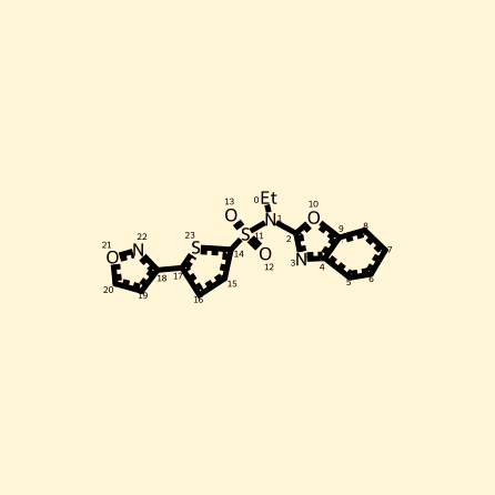 CCN(c1nc2ccccc2o1)S(=O)(=O)c1ccc(-c2ccon2)s1